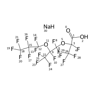 O=C(O)C(F)(OC(F)(F)C(F)(OC(F)(F)C(F)(F)C(F)(F)F)C(F)(F)F)C(F)(F)F.[NaH]